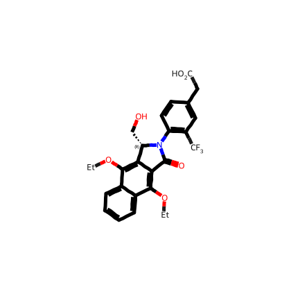 CCOc1c2c(c(OCC)c3ccccc13)[C@H](CO)N(c1ccc(CC(=O)O)cc1C(F)(F)F)C2=O